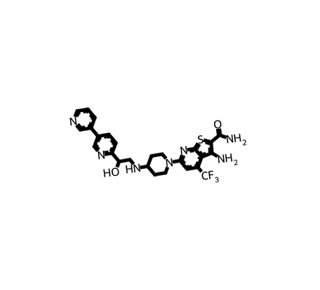 NC(=O)c1sc2nc(N3CCC(NCC(O)c4ccc(-c5cccnc5)cn4)CC3)cc(C(F)(F)F)c2c1N